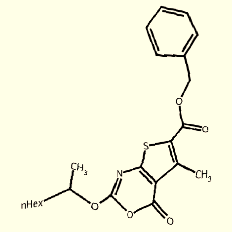 CCCCCCC(C)Oc1nc2sc(C(=O)OCc3ccccc3)c(C)c2c(=O)o1